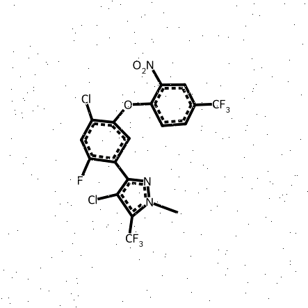 Cn1nc(-c2cc(Oc3ccc(C(F)(F)F)cc3[N+](=O)[O-])c(Cl)cc2F)c(Cl)c1C(F)(F)F